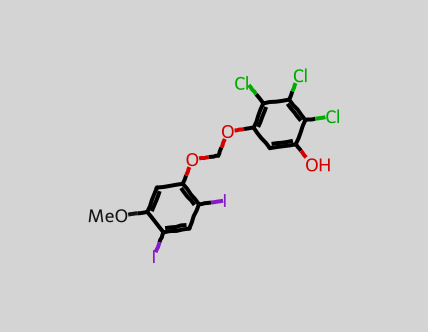 COc1cc(OCOc2cc(O)c(Cl)c(Cl)c2Cl)c(I)cc1I